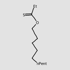 CCCCCCCCCCOC(=S)CC